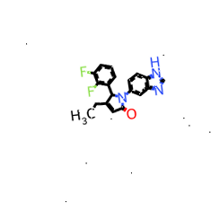 CCC1=CC(=O)N(c2ccc3[nH]cnc3c2)C1c1cccc(F)c1F